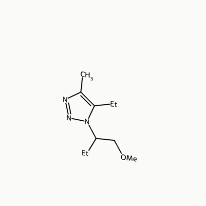 CCc1c(C)nnn1C(CC)COC